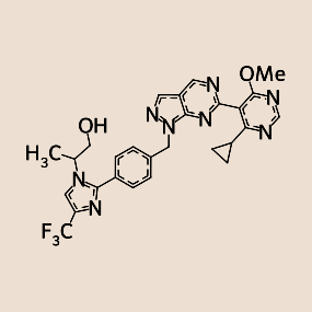 COc1ncnc(C2CC2)c1-c1ncc2cnn(Cc3ccc(-c4nc(C(F)(F)F)cn4C(C)CO)cc3)c2n1